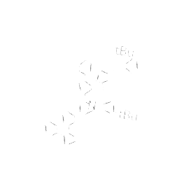 CC(C)(C)c1cccc(CCc2cc(CCc3cccc(C(C)(C)C)c3)cc(-c3ccccc3-c3ccc(-c4cc(-c5ccc6c7ccccc7c7ccccc7c6c5)ccn4)cc3)c2)c1